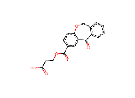 O=C(O)CCOC(=O)c1ccc2c(c1)C(=O)c1ccccc1CO2